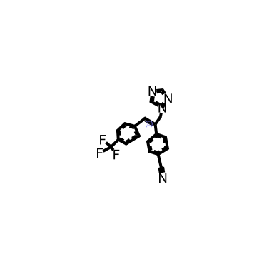 N#Cc1ccc(/C(=C\c2ccc(C(F)(F)F)cc2)Cn2cncn2)cc1